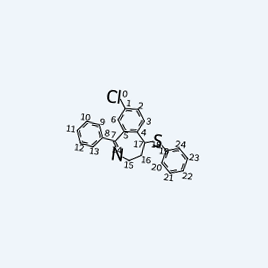 Clc1ccc2c(c1)C(c1ccccc1)=NCCC2Sc1ccccc1